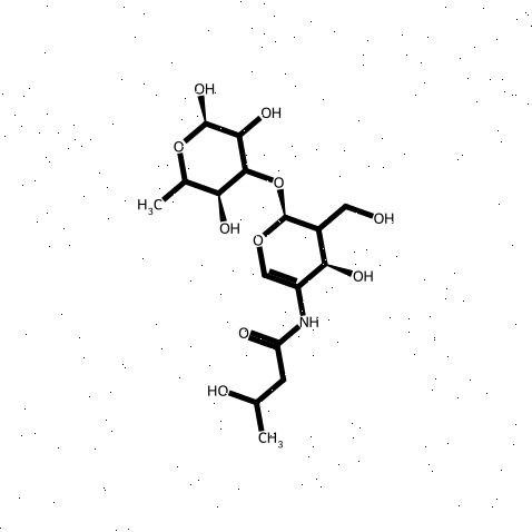 CC(O)CC(=O)NC1=CO[C@@H](OC2C(O)[C@H](O)OC(C)[C@@H]2O)C(CO)[C@H]1O